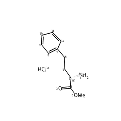 COC(=O)[C@@H](N)CCc1ccccc1.Cl